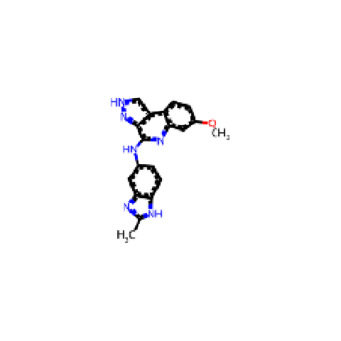 COc1ccc2c(c1)nc(Nc1ccc3[nH]c(C)nc3c1)c1n[nH]cc12